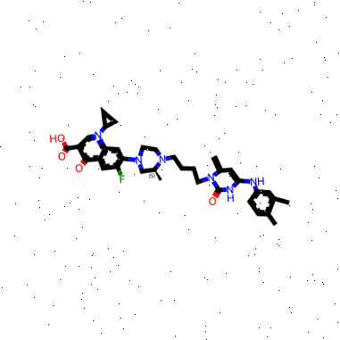 C=C1C=C(Nc2ccc(C)c(C)c2)NC(=O)N1CCCCN1CCN(c2cc3c(cc2F)c(=O)c(C(=O)O)cn3C2CC2)C[C@@H]1C